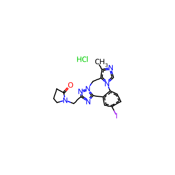 Cc1ncn2c1Cn1nc(CN3CCCC3=O)nc1-c1cc(I)ccc1-2.Cl